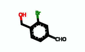 O=Cc1ccc(CO)c(Br)c1